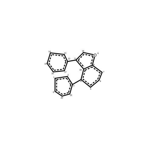 c1ccc(-c2cccc3occ(-c4ccccc4)c23)cc1